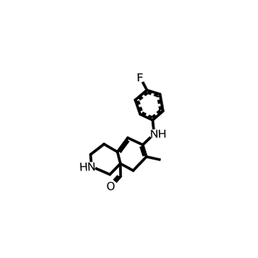 CC1=C(Nc2ccc(F)cc2)C=C2CCNCC2(C=O)C1